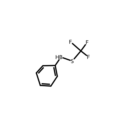 FC(F)(F)SBc1ccccc1